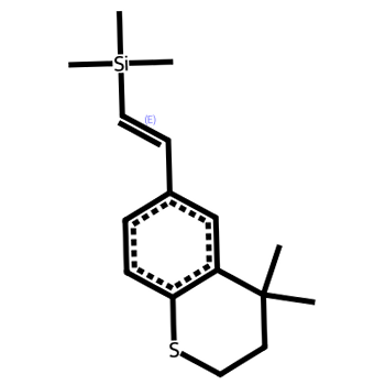 CC1(C)CCSc2ccc(/C=C/[Si](C)(C)C)cc21